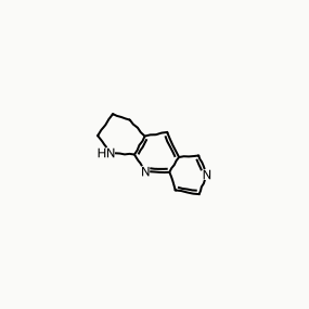 c1cc2nc3c(cc2cn1)CCCN3